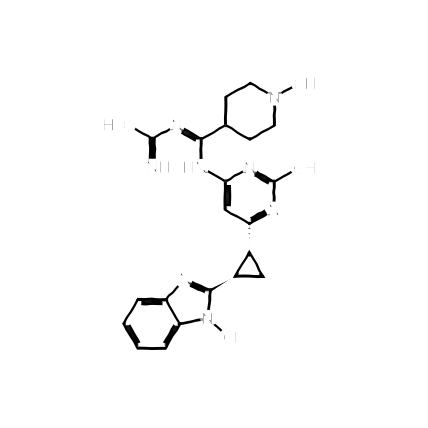 CC(=N)/N=C(\Nc1cc([C@@H]2C[C@H]2c2nc3ccccc3n2C)nc(C)n1)C1CCN(C)CC1